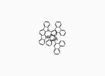 c1ccc2c(c1)Nc1cccc(-n3c4ccccc4c4ccc5c6ccccc6n(-c6nc(-c7cc8ccccc8c8ccccc78)nc(-c7cc8ccccc8c8ccccc78)n6)c5c43)c1N2